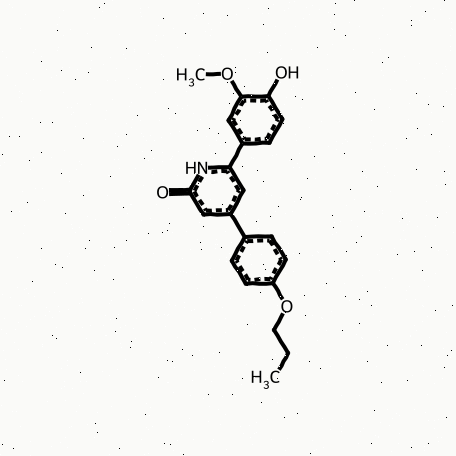 CCCOc1ccc(-c2cc(-c3ccc(O)c(OC)c3)[nH]c(=O)c2)cc1